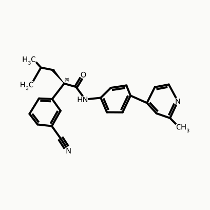 Cc1cc(-c2ccc(NC(=O)[C@H](CC(C)C)c3cccc(C#N)c3)cc2)ccn1